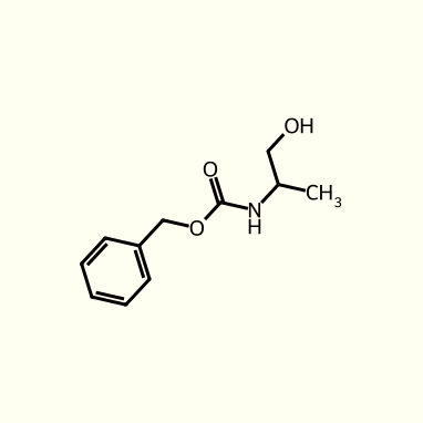 CC(CO)NC(=O)OCc1ccccc1